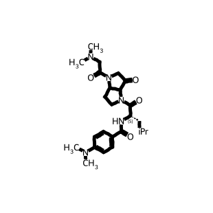 CC(C)C[C@H](NC(=O)c1ccc(N(C)C)cc1)C(=O)N1CCC2C1C(=O)CN2C(=O)CN(C)C